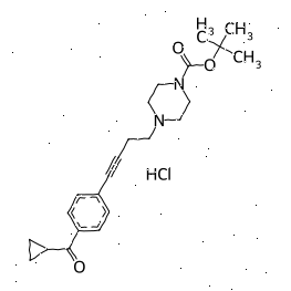 CC(C)(C)OC(=O)N1CCN(CCC#Cc2ccc(C(=O)C3CC3)cc2)CC1.Cl